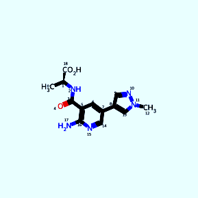 C[C@H](NC(=O)c1cc(-c2cnn(C)c2)cnc1N)C(=O)O